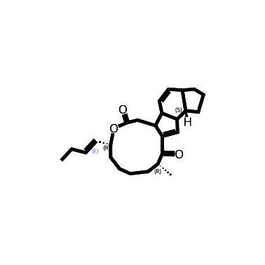 CC/C=C/[C@H]1CCCC[C@@H](C)C(=O)C2=CC3C(C=CC4CCC[C@@H]43)C2CC(=O)O1